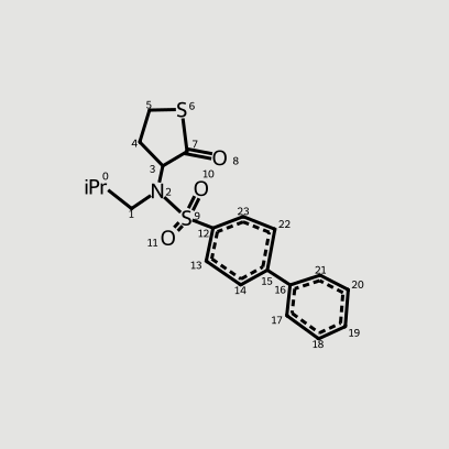 CC(C)CN(C1CCSC1=O)S(=O)(=O)c1ccc(-c2ccccc2)cc1